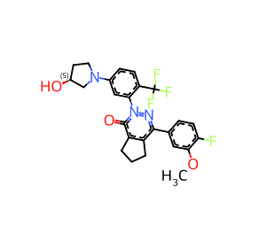 COc1cc(-c2nn(-c3cc(N4CC[C@H](O)C4)ccc3C(F)(F)F)c(=O)c3c2CCC3)ccc1F